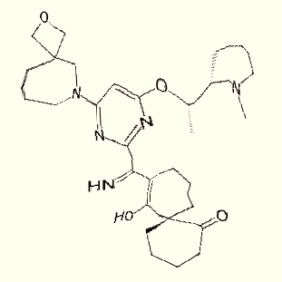 C[C@H](Oc1cc(N2CCCC3(COC3)C2)nc(C(=N)C2=C(O)[C@]3(CCCCC3=O)CCC2)n1)[C@@H]1CCCN1C